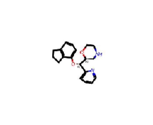 c1ccc([C@H](Oc2cccc3c2CCC3)[C@@H]2CNCCO2)nc1